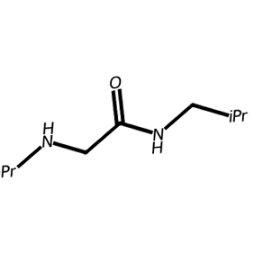 CCCNCC(=O)NCC(C)C